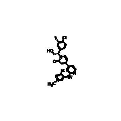 CCc1nn(C)cc1Nc1nccc(-c2ccn([C@H](CO)c3ccc(Cl)c(F)c3)c(=O)c2)n1